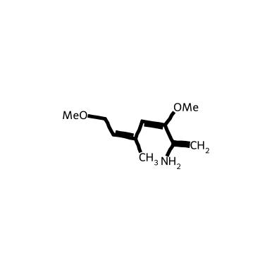 C=C(N)/C(=C\C(C)=C/COC)OC